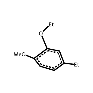 CCOc1cc(CC)ccc1OC